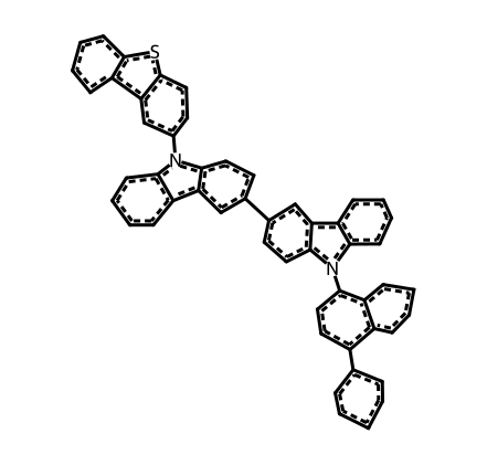 c1ccc(-c2ccc(-n3c4ccccc4c4cc(-c5ccc6c(c5)c5ccccc5n6-c5ccc6sc7ccccc7c6c5)ccc43)c3ccccc23)cc1